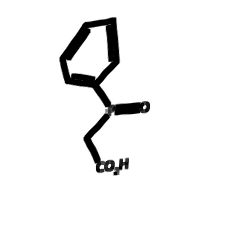 O=C(O)C[P](=O)c1ccccc1